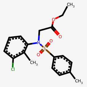 CCOC(=O)CN(c1cccc(Cl)c1C)S(=O)(=O)c1ccc(C)cc1